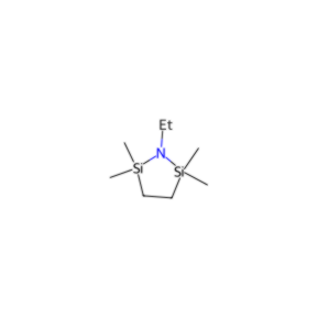 [CH2]CN1[Si](C)(C)CC[Si]1(C)C